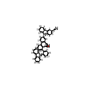 N#Cc1ccc2c(c1)c1ccccc1n2-c1ccc(-c2cccc(-c3ccccc3-n3c4ccccc4c4ccccc43)c2C#N)c(C#N)c1